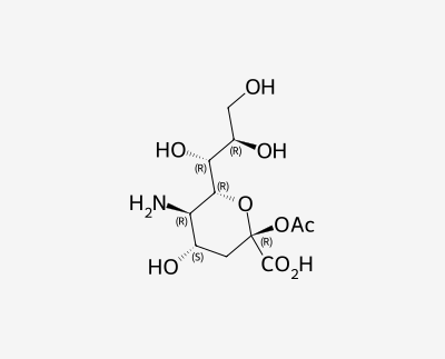 CC(=O)O[C@@]1(C(=O)O)C[C@H](O)[C@@H](N)[C@H]([C@H](O)[C@H](O)CO)O1